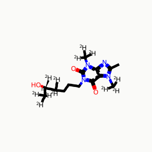 [2H]C([2H])([2H])n1c(C)nc2c1c(=O)n(CCCC([2H])([2H])[C@@]([2H])(O)C([2H])([2H])[2H])c(=O)n2C([2H])([2H])[2H]